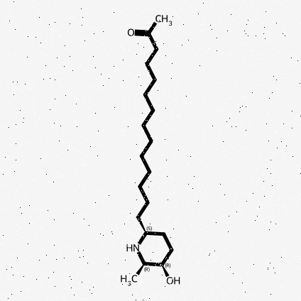 CC(=O)CCCCCCCCCCCC[C@H]1CC[C@@H](O)[C@@H](C)N1